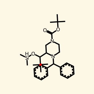 C[SiH](C)OC(C1CN(C(=O)OC(C)(C)C)CCN1C(c1ccccc1)c1ccccc1)C(C)(C)C